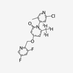 [2H]C([2H])([2H])c1cc(OCc2ncc(F)cc2F)cc(=O)n1-c1cc(Cl)ncc1C